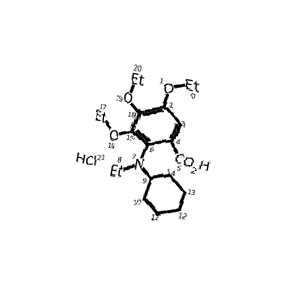 CCOc1cc(C(=O)O)c(N(CC)C2CCCCC2)c(OCC)c1OCC.Cl